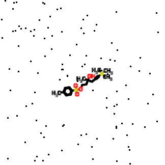 Cc1ccc(S(=O)(=O)OCCC(C)(O)CC#CS(C)(C)C)cc1